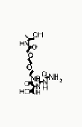 CC(O)C(NC(=O)NC(N)=O)C(=O)NCCOCCOCC(=O)N[C@@H](C)CO